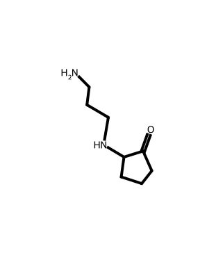 NCCCNC1CCCC1=O